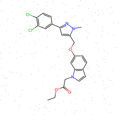 CCOC(=O)Cn1ccc2ccc(OCc3cc(-c4ccc(Cl)c(Cl)c4)nn3C)cc21